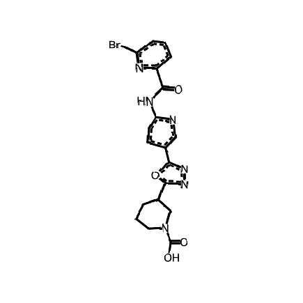 O=C(Nc1ccc(-c2nnc(C3CCCN(C(=O)O)C3)o2)cn1)c1cccc(Br)n1